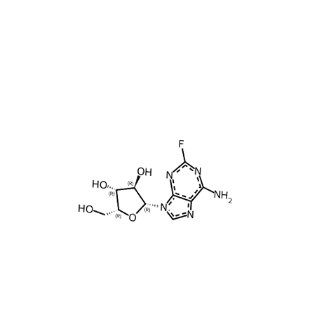 Nc1nc(F)nc2c1ncn2[C@@H]1O[C@H](CO)[C@H](O)[C@H]1O